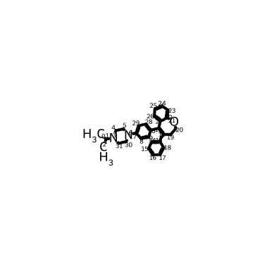 CC(C)N1CCN(c2ccc(C3=C(c4ccccc4)CCOc4ccccc43)cc2)CC1